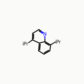 CC(C)c1ccnc2c(C(C)C)cccc12